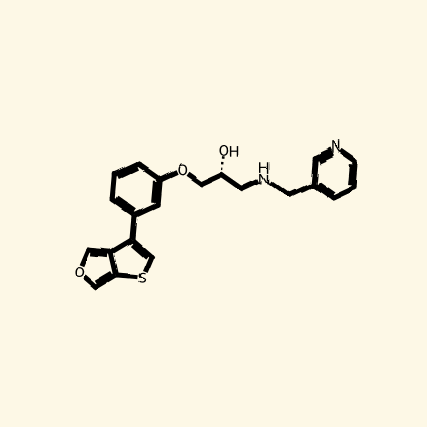 O[C@H](CNCc1cccnc1)COc1cccc(-c2csc3cocc23)c1